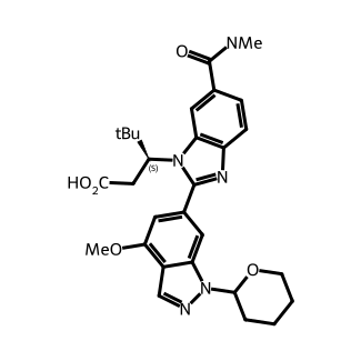 CNC(=O)c1ccc2nc(-c3cc(OC)c4cnn(C5CCCCO5)c4c3)n([C@@H](CC(=O)O)C(C)(C)C)c2c1